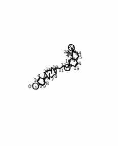 COc1ccc(N2CCN(CCCOc3ccc4c(c3)N(C)C(=O)CC4)CC2)cc1